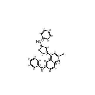 Cc1cc(N2CCC(Nc3ccccc3)C2)c2cc(Oc3ccccc3)ccc2n1